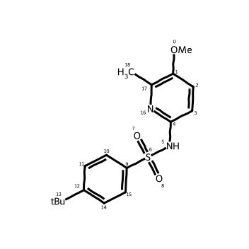 COc1ccc(NS(=O)(=O)c2ccc(C(C)(C)C)cc2)nc1C